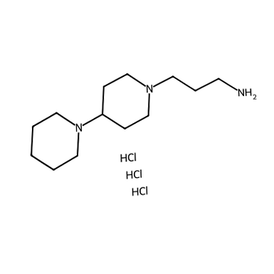 Cl.Cl.Cl.NCCCN1CCC(N2CCCCC2)CC1